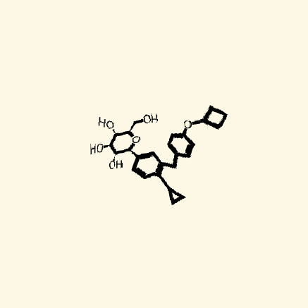 OC[C@H]1O[C@@H](c2ccc(C3CC3)c(Cc3ccc(OC4CCC4)cc3)c2)[C@H](O)[C@@H](O)[C@@H]1O